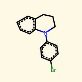 Brc1ccc(N2CCCc3ccccc32)cc1